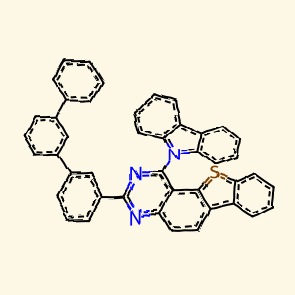 c1ccc(-c2cccc(-c3cccc(-c4nc(-n5c6ccccc6c6ccccc65)c5c(ccc6c7ccccc7sc65)n4)c3)c2)cc1